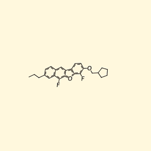 CCCc1ccc2cc3c(oc4c(F)c(OCC5CCCC5)ccc43)c(F)c2c1